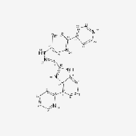 c1ccc(-c2cccc3[nH]c(-c4n[nH]c5ccc(-c6ccncc6)nc45)nc23)nc1